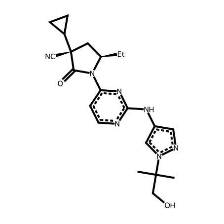 CC[C@@H]1C[C@@](C#N)(C2CC2)C(=O)N1c1ccnc(Nc2cnn(C(C)(C)CO)c2)n1